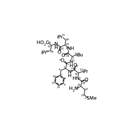 CCC(C)C(NC(=O)C(Cc1ccccc1)NC(=O)C(NC(=O)C(N)CCSC)C(C)C)C(=O)NC(CC(C)C)C(=O)NC(CC(C)C)C(=O)O